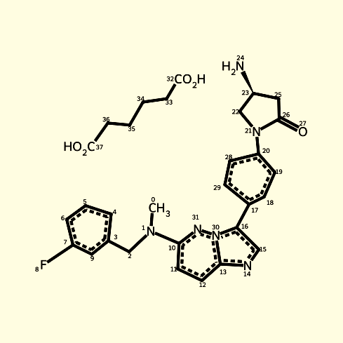 CN(Cc1cccc(F)c1)c1ccc2ncc(-c3ccc(N4C[C@@H](N)CC4=O)cc3)n2n1.O=C(O)CCCCC(=O)O